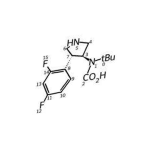 CC(C)(C)N(C(=O)O)[C@@H]1CNC[C@H]1c1ccc(F)cc1F